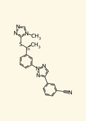 C[C@H](Sc1nncn1C)c1cccc(-n2ncc(-c3cccc(C#N)c3)n2)c1